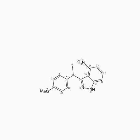 COc1ccc(C(I)c2n[nH]c3cccc([N+](=O)[O-])c23)cc1